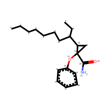 CCCCCCCC(CC)C1CC1(Oc1ccccc1)C(N)=O